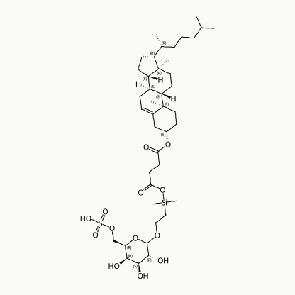 CC(C)CCC[C@@H](C)[C@H]1CC[C@H]2[C@@H]3CC=C4C[C@@H](OC(=O)CCC(=O)O[Si](C)(C)CCOC5O[C@H](COS(=O)(=O)O)[C@H](O)[C@H](O)[C@H]5O)CC[C@]4(C)[C@H]3CC[C@]12C